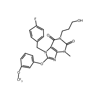 Cn1c(=O)n(CCCO)c(=O)c2c1nc(Oc1cccc(OC(F)(F)F)c1)n2Cc1ccc(F)cc1